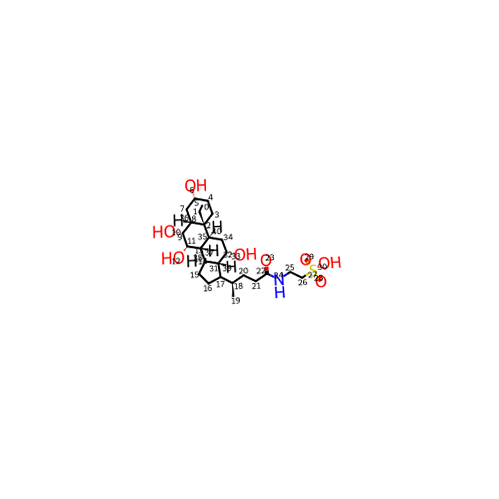 CC[C@]12CC[C@@H](O)C[C@H]1[C@@H](O)[C@@H](O)[C@H]1[C@@H]3CCC([C@H](C)CCC(=O)NCCS(=O)(=O)O)[C@H]3[C@@H](O)C[C@@H]12